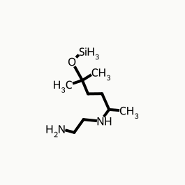 CC(CCC(C)(C)O[SiH3])NCCN